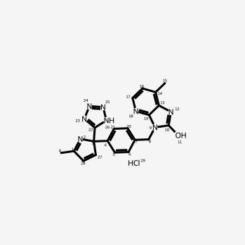 CC1=NC(c2ccc(Cn3c(O)nc4c(C)ccnc43)cc2)(c2nnn[nH]2)C=C1.Cl